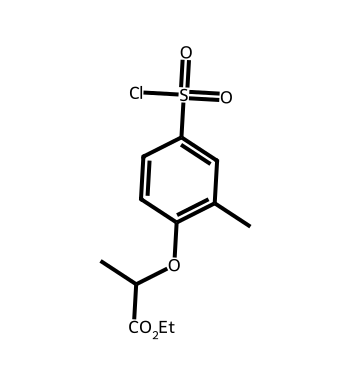 CCOC(=O)C(C)Oc1ccc(S(=O)(=O)Cl)cc1C